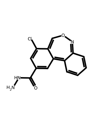 NNC(=O)c1cc(Cl)c2c(c1)=c1ccccc1=NOC=2